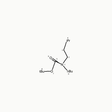 CCCCN(CCC(C)C)C(=O)OC(C)(C)C